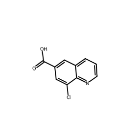 O=C(O)c1cc(Cl)c2ncccc2c1